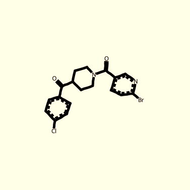 O=C(c1ccc(Cl)cc1)C1CCN(C(=O)c2ccc(Br)nc2)CC1